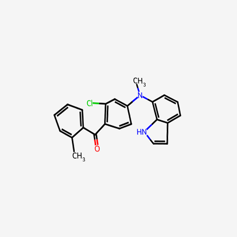 Cc1ccccc1C(=O)c1ccc(N(C)c2cccc3cc[nH]c23)cc1Cl